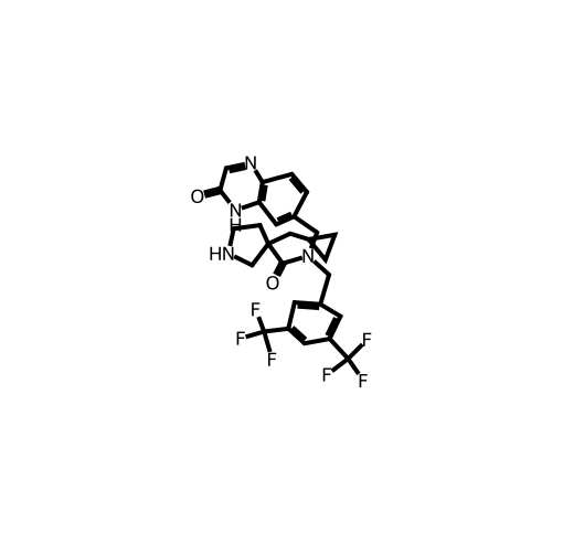 O=C(N(Cc1cc(C(F)(F)F)cc(C(F)(F)F)c1)Cc1ccc2ncc(=O)[nH]c2c1)C1(CC2CC2)CCNC1